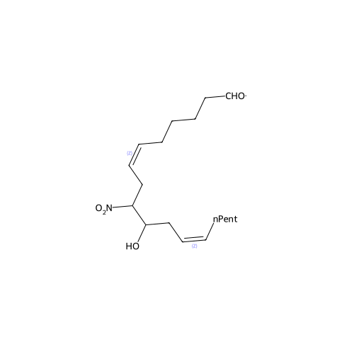 CCCCC/C=C\CC(O)C(C/C=C\CCCC[C]=O)[N+](=O)[O-]